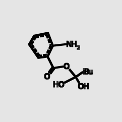 CCC(C)C(O)(O)OC(=O)c1ccccc1N